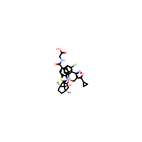 O=C(O)CNC(=O)c1cc(F)c2nc(C3(O)[C@@H]4CC[C@H]3CC(OCc3c(-c5c(Cl)cccc5Cl)noc3C3CC3)C4)sc2c1